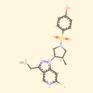 C[C@@H]1CN(S(=O)(=O)c2ccc(O)cc2)C[C@@H]1n1nc(CC(=O)O)c2cnc(F)cc21